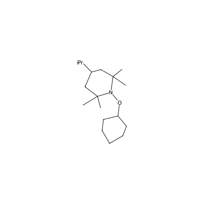 CC(C)C1CC(C)(C)N(OC2CCCCC2)C(C)(C)C1